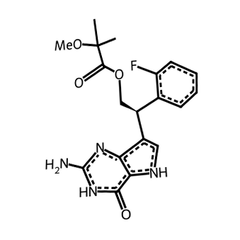 COC(C)(C)C(=O)OC[C@@H](c1ccccc1F)c1c[nH]c2c(=O)[nH]c(N)nc12